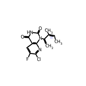 C=C(/C(C)=C\C)n1c(=O)[nH]c(=O)c2cc(F)c(Cl)nc21